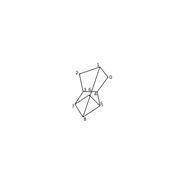 C1C2CC3C1[C]1CC3C12